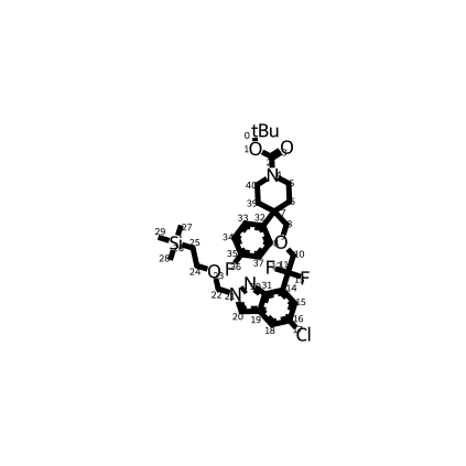 CC(C)(C)OC(=O)N1CCC(COCC(F)(F)c2cc(Cl)cc3cn(COCC[Si](C)(C)C)nc23)(c2ccc(F)cc2)CC1